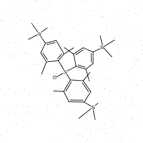 Cc1cc([Si](C)(C)C)cc(C)c1[Si](Cl)(c1c(C)cc([Si](C)(C)C)cc1C)c1c(C)cc([Si](C)(C)C)cc1C